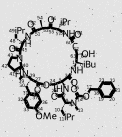 CC[C@H](C)[C@H]1NC(=O)[C@@H](NC(=O)[C@@H](CC(C)C)N(C)C(=O)OCc2ccccc2)[C@@H](C)OC(=O)[C@H](Cc2ccc(OC)cc2)N(C)[C@@H]2CCCN2C(=O)[C@H](CC(C)C)NC(=O)[C@@H](C)C(=O)[C@H](C(C)C)NC(=O)C[C@@H]1O